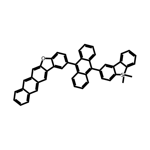 C[Si]1(C)c2ccccc2-c2cc(-c3c4ccccc4c(-c4ccc5oc6cc7cc8ccccc8cc7cc6c5c4)c4ccccc34)ccc21